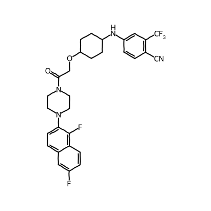 N#Cc1ccc(NC2CCC(OCC(=O)N3CCN(c4ccc5cc(F)ccc5c4F)CC3)CC2)cc1C(F)(F)F